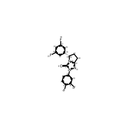 O=c1n(-c2ccc(F)c(F)c2)nc2n1[C@H](c1cc(F)cc(F)c1)CC2